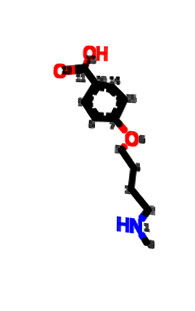 CNCCCCOc1ccc(C(=O)O)cc1